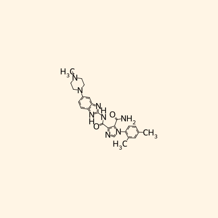 Cc1ccc(-n2cnc(C(=O)Nc3nc4cc(N5CCN(C)CC5)ccc4[nH]3)c2C(N)=O)c(C)c1